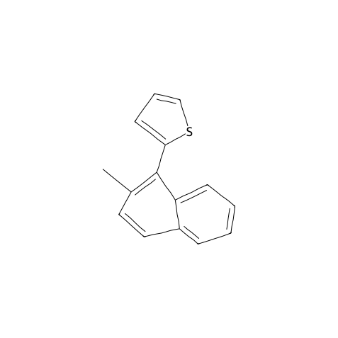 Cc1ccc2ccccc2c1-c1cccs1